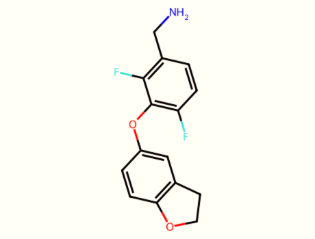 NCc1ccc(F)c(Oc2ccc3c(c2)CCO3)c1F